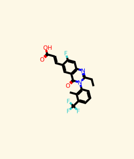 CCc1nc2cc(F)c(C=CC(=O)O)cc2c(=O)n1-c1cccc(C(F)(F)F)c1C